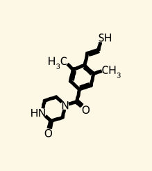 Cc1cc(C(=O)N2CCNC(=O)C2)cc(C)c1/C=C/S